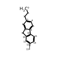 CCCc1ccc2c(c1)Cc1cc(I)ccc1-2